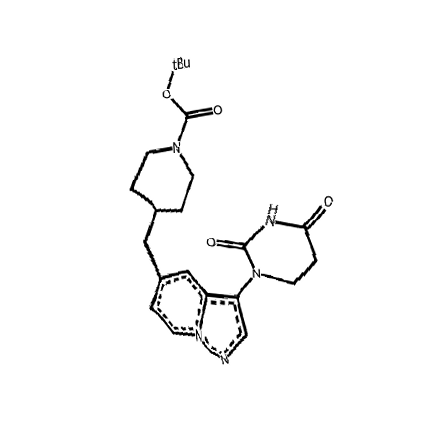 CC(C)(C)OC(=O)N1CCC(Cc2ccn3ncc(N4CCC(=O)NC4=O)c3c2)CC1